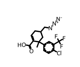 CC1(c2ccc(Cl)c(C(F)(F)F)c2)CC(CN=[N+]=[N-])CC=C1C(=O)O